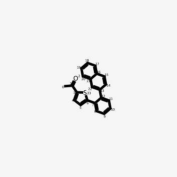 CC(=O)c1ccc(-c2ccccc2-c2ccc3ccccc3c2)s1